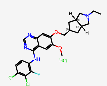 CCN1C[C@H]2C[C@H](COc3cc4ncnc(Nc5ccc(Cl)c(Cl)c5F)c4cc3OC)C[C@H]2C1.Cl